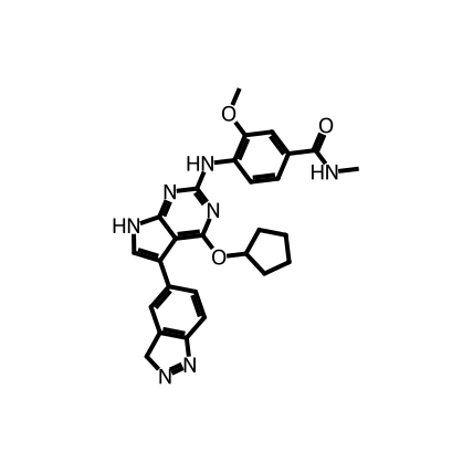 CNC(=O)c1ccc(Nc2nc(OC3CCCC3)c3c(-c4ccc5c(c4)CN=N5)c[nH]c3n2)c(OC)c1